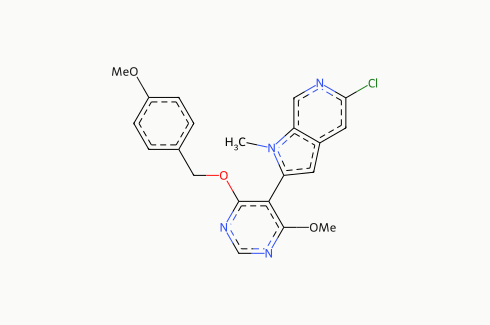 COc1ccc(COc2ncnc(OC)c2-c2cc3cc(Cl)ncc3n2C)cc1